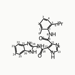 Cc1cccc(C(C)C)c1NC(=O)c1nc[nH]c1C(=O)Nc1nc2ccccc2[nH]1